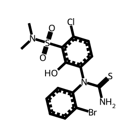 CN(C)S(=O)(=O)c1c(Cl)ccc(N(C(N)=S)c2ccccc2Br)c1O